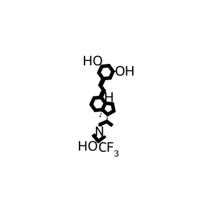 CC(CN1CC(O)(C(F)(F)F)C1)[C@H]1CC[C@H]2/C(=C/C=C3C[C@@H](O)C[C@H](O)C3)CCC[C@]12C